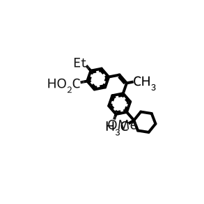 CCc1cc(/C=C(/C)c2ccc(OC)c(C3(C)CCCCC3)c2)ccc1C(=O)O